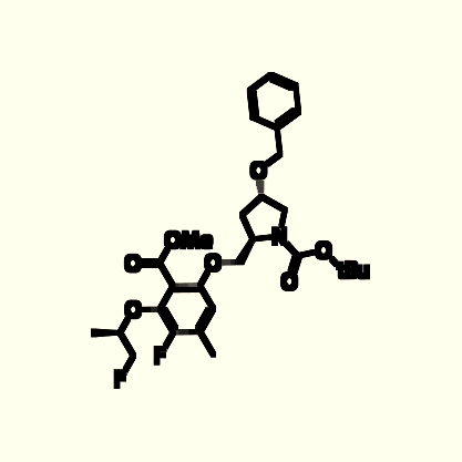 COC(=O)c1c(OC[C@H]2C[C@H](OCc3ccccc3)CN2C(=O)OC(C)(C)C)cc(C)c(F)c1O[C@H](C)CF